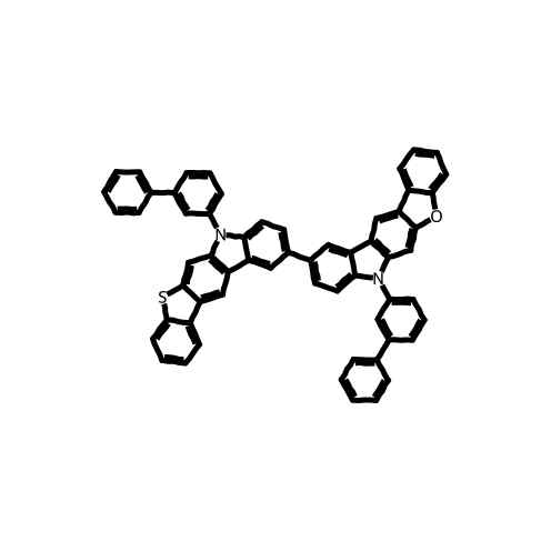 c1ccc(-c2cccc(-n3c4ccc(-c5ccc6c(c5)c5cc7c(cc5n6-c5cccc(-c6ccccc6)c5)sc5ccccc57)cc4c4cc5c(cc43)oc3ccccc35)c2)cc1